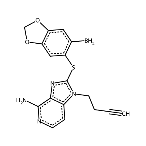 Bc1cc2c(cc1Sc1nc3c(N)nccc3n1CCC#C)OCO2